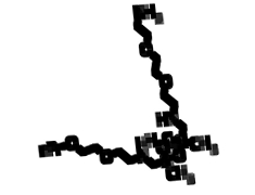 CCCOCCOCCNC[Si](C)(C)O[Si](C)(C)CNCCOCCOCCN